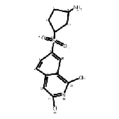 NC1CCC(S(=O)(=O)c2ccc3cc(Cl)nc(Cl)c3c2)C1